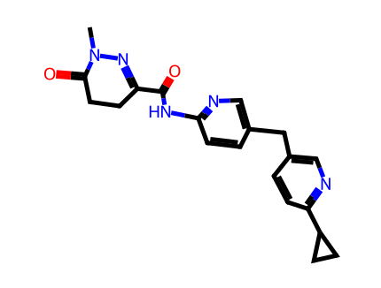 CN1N=C(C(=O)Nc2ccc(Cc3ccc(C4CC4)nc3)cn2)CCC1=O